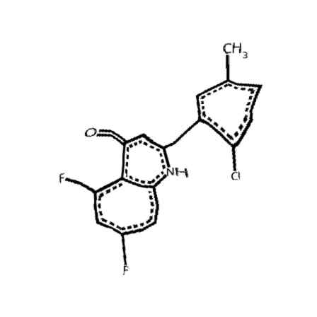 Cc1ccc(Cl)c(-c2cc(=O)c3c(F)cc(F)cc3[nH]2)c1